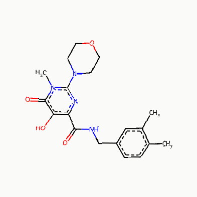 Cc1ccc(CNC(=O)c2nc(N3CCOCC3)n(C)c(=O)c2O)cc1C